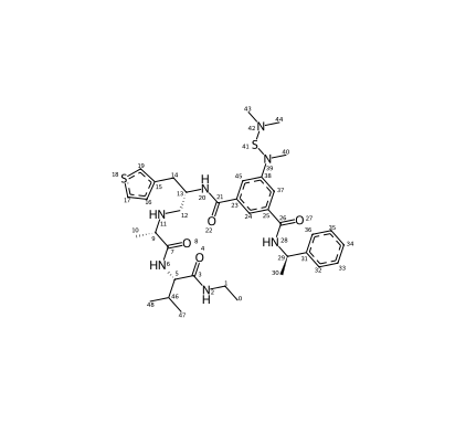 CCNC(=O)[C@@H](NC(=O)[C@H](C)NC[C@H](Cc1ccsc1)NC(=O)c1cc(C(=O)N[C@H](C)c2ccccc2)cc(N(C)SN(C)C)c1)C(C)C